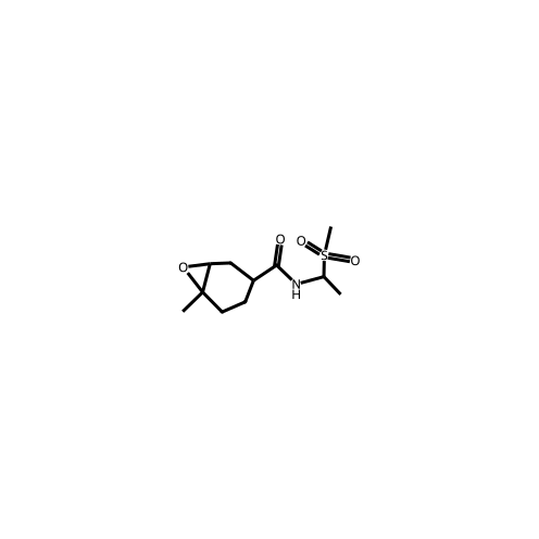 CC(NC(=O)C1CCC2(C)OC2C1)S(C)(=O)=O